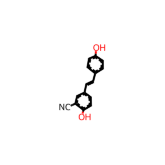 N#Cc1cc(C=Cc2ccc(O)cc2)ccc1O